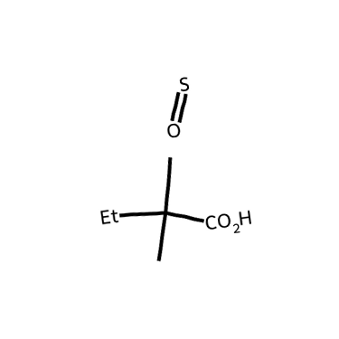 CCC(C)(C)C(=O)O.O=S